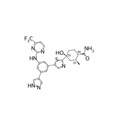 C[C@H]1C[C@](O)(c2ncc(-c3cc(Nc4nccc(C(F)(F)F)n4)cc(-c4cn[nH]c4)c3)s2)CC[C@H]1C(N)=O